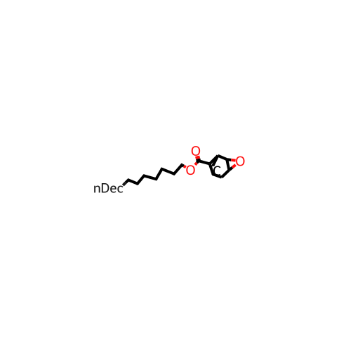 CCCCCCCCCCCCCCCCCOC(=O)C1CC2CCC1C1OC21